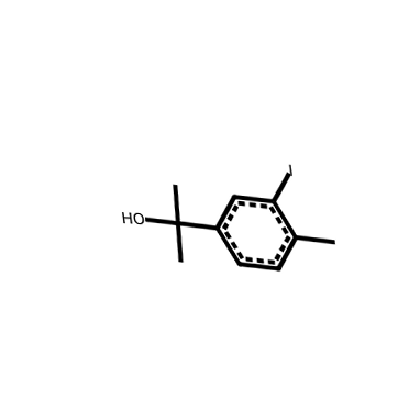 Cc1ccc(C(C)(C)O)cc1I